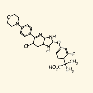 CC(C)(C(=O)O)C1CC=C(OC2NC3CC(Cl)C(c4ccc(N5CCOCC5)cc4)=NC3N2)C=C1F